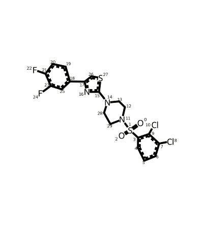 O=S(=O)(c1cccc(Cl)c1Cl)N1CCN(c2nc(-c3ccc(F)c(F)c3)cs2)CC1